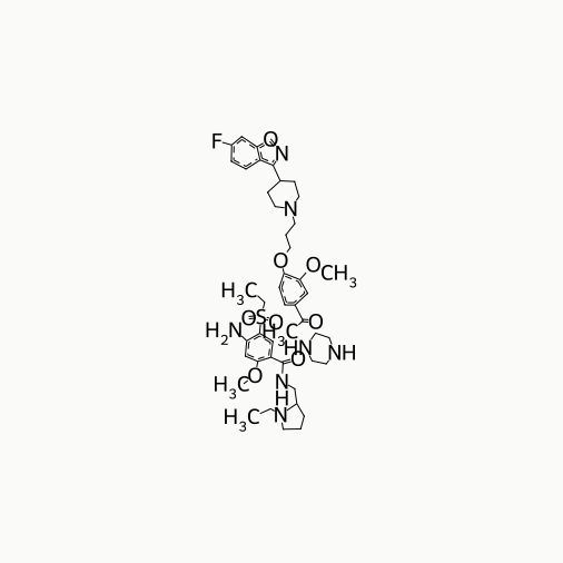 C1CNCCN1.CCN1CCCC1CNC(=O)c1cc(S(=O)(=O)CC)c(N)cc1OC.COc1cc(C(C)=O)ccc1OCCCN1CCC(c2noc3cc(F)ccc23)CC1